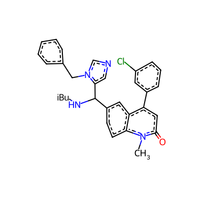 CCC(C)NC(c1ccc2c(c1)c(-c1cccc(Cl)c1)cc(=O)n2C)c1cncn1Cc1ccccc1